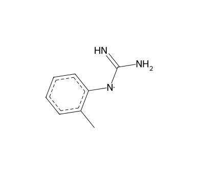 Cc1ccccc1[N]C(=N)N